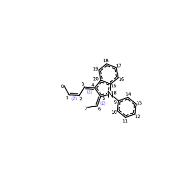 C\C=C/C=c1\c(=C/C)n(-c2ccccc2)c2ccccc12